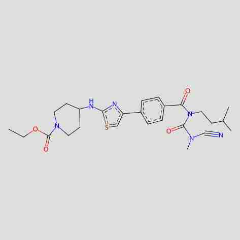 CCOC(=O)N1CCC(Nc2nc(-c3ccc(C(=O)N(CCC(C)C)C(=O)N(C)C#N)cc3)cs2)CC1